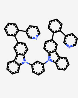 c1cncc(-c2ccccc2-c2ccc3c(c2)c2ccccc2n3-c2cccc(-n3c4ccccc4c4cc(-c5ccccc5-c5cccnc5)ccc43)c2)c1